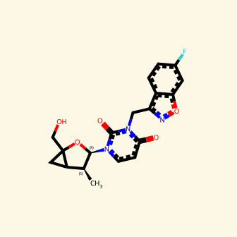 C[C@H]1C2CC2(CO)O[C@H]1n1ccc(=O)n(Cc2noc3cc(F)ccc23)c1=O